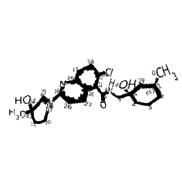 C[C@H]1CCC[C@](O)(CNC(=O)c2c(Cl)ccc3nc(N4CCC(C)(O)C4)ccc23)C1